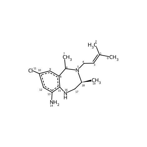 CC(C)=CCN1C(C)c2cc(Cl)cc(N)c2NC[C@@H]1C